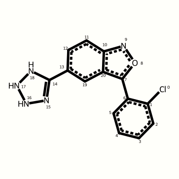 Clc1ccccc1-c1onc2ccc(C3=NNNN3)cc12